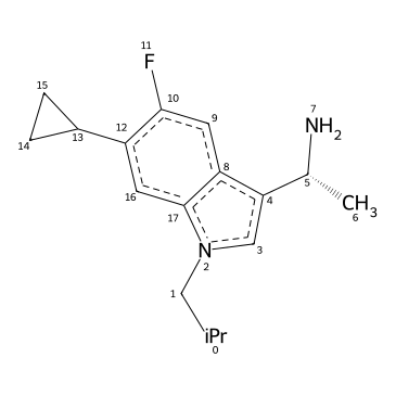 CC(C)Cn1cc([C@@H](C)N)c2cc(F)c(C3CC3)cc21